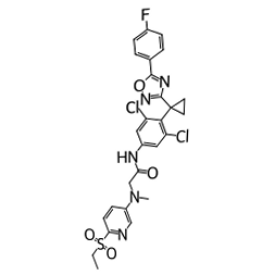 CCS(=O)(=O)c1ccc(N(C)CC(=O)Nc2cc(Cl)c(C3(c4noc(-c5ccc(F)cc5)n4)CC3)c(Cl)c2)cn1